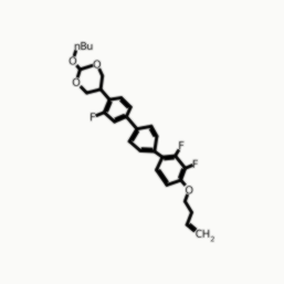 C=CCCOc1ccc(-c2ccc(-c3ccc(C4COC(OCCCC)OC4)c(F)c3)cc2)c(F)c1F